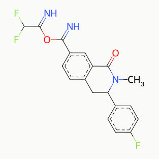 CN1C(=O)c2cc(C(=N)OC(=N)C(F)F)ccc2CC1c1ccc(F)cc1